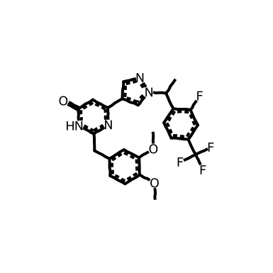 COc1ccc(Cc2nc(-c3cnn(C(C)c4ccc(C(F)(F)F)cc4F)c3)cc(=O)[nH]2)cc1OC